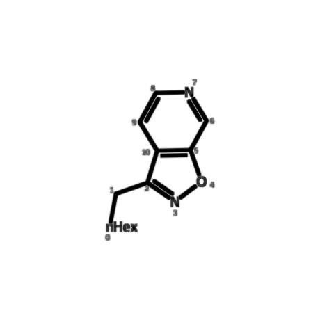 CCCCCCCc1noc2cnccc12